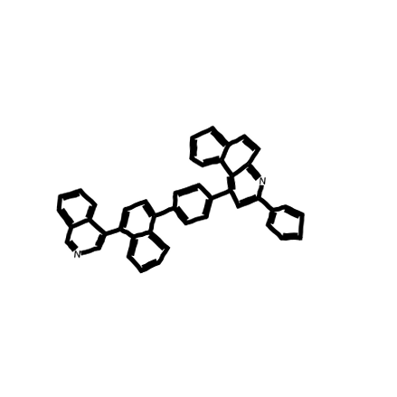 c1ccc(-c2cc(-c3ccc(-c4ccc(-c5cncc6ccccc56)c5ccccc45)cc3)c3c(ccc4ccccc43)n2)cc1